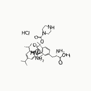 CC(C)c1cc(C(C)C)c(S(=O)(=O)C(C)(OC(=O)N2CCNCC2)c2ccc(C[C@H](N)C(=O)O)cc2C(=N)N)c(C(C)C)c1.Cl